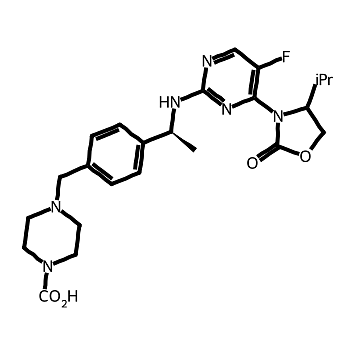 CC(C)C1COC(=O)N1c1nc(N[C@@H](C)c2ccc(CN3CCN(C(=O)O)CC3)cc2)ncc1F